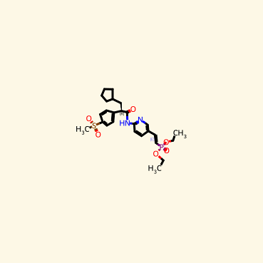 CCOP(=O)(/C=C/c1ccc(NC(=O)[C@H](CC2CCCC2)c2ccc(S(C)(=O)=O)cc2)nc1)OCC